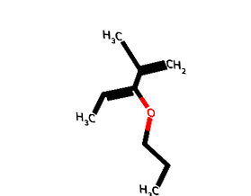 C=C(C)C(=CC)OCCC